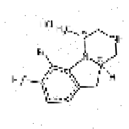 Cc1ccc2c(c1Br)N1[C@@H](CNC[C@H]1C)C2.Cl